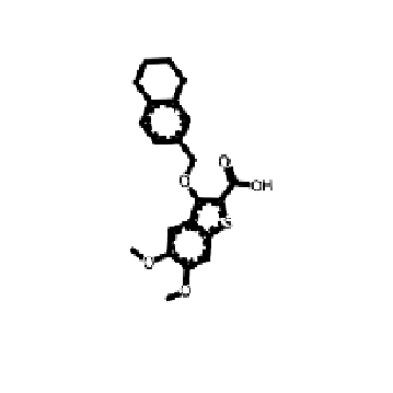 COc1cc2sc(C(=O)O)c(OCc3ccc4c(c3)CCCC4)c2cc1OC